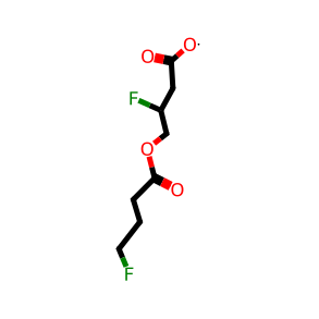 [O]C(=O)CC(F)COC(=O)CCCF